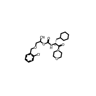 N#CC(COCc1ccccc1Cl)OC(=O)N[C@H](CC1CCCCC1)C(=O)N1CCOCC1